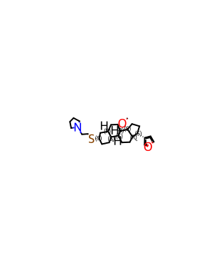 CO[C@]12CC[C@H](c3ccoc3)[C@@]1(C)CC[C@H]1[C@H]2CC[C@@H]2C[C@@H](SCCN3CCCC3)CC[C@@]21C